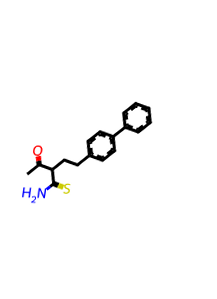 CC(=O)C(CCc1ccc(-c2ccccc2)cc1)C(N)=S